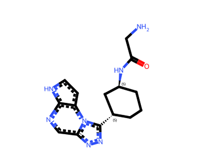 NCC(=O)N[C@H]1CCC[C@H](c2nnc3cnc4[nH]ccc4n23)C1